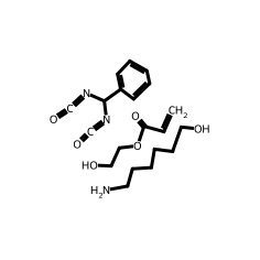 C=CC(=O)OCCO.NCCCCCCO.O=C=NC(N=C=O)c1ccccc1